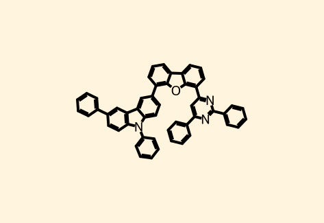 c1ccc(-c2ccc3c(c2)c2cc(-c4cccc5c4oc4c(-c6cc(-c7ccccc7)nc(-c7ccccc7)n6)cccc45)ccc2n3-c2ccccc2)cc1